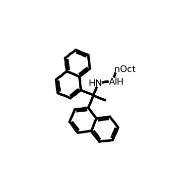 CCCCCCC[CH2][AlH][NH]C(C)(c1cccc2ccccc12)c1cccc2ccccc12